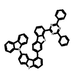 c1ccc(-c2nc(-c3ccccc3)nc(-c3cccc4c3sc3cc(-c5cccc6sc7ccc(-n8c9ccccc9c9ccccc98)cc7c56)ccc34)n2)cc1